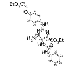 CCOC(=O)COc1ccc(Nc2nc(N)c(NC(=O)Nc3ccccc3)c(C(=O)OCC)n2)cc1